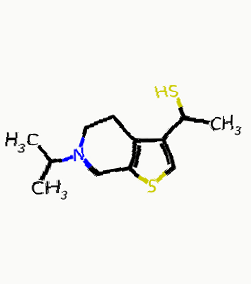 CC(S)c1csc2c1CCN(C(C)C)C2